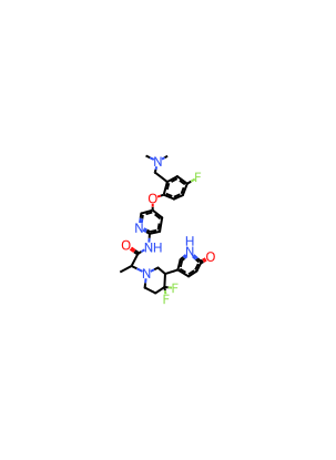 CC(C(=O)Nc1ccc(Oc2ccc(F)cc2CN(C)C)cn1)N1CCC(F)(F)C(c2ccc(=O)[nH]c2)C1